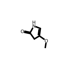 COC1=CNC(=O)C1